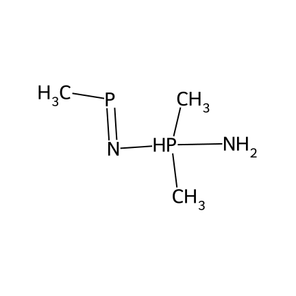 C/P=N/[PH](C)(C)N